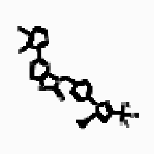 CC(C)c1c(F)cccc1-c1ncc2[nH]c(=O)n(Cc3ccc(-n4nc(C(C)(C)O)cc4C4CC4)cc3)c2n1